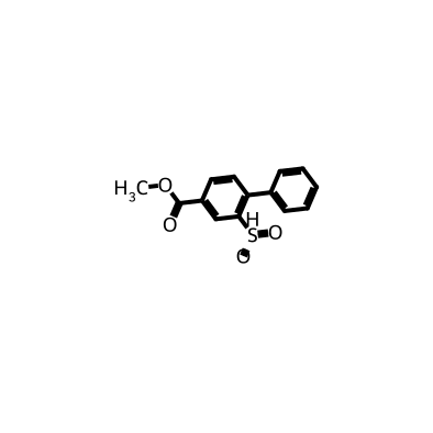 COC(=O)c1ccc(-c2ccccc2)c([SH](=O)=O)c1